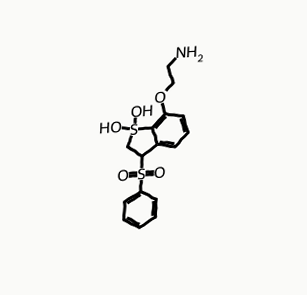 NCCOc1cccc2c1S(O)(O)CC2S(=O)(=O)c1ccccc1